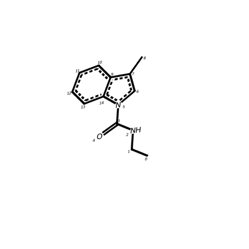 CCNC(=O)n1cc(C)c2ccccc21